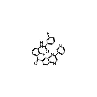 O=C(Nc1cccc(C(=O)c2ccc3ncc(-c4cccnc4)nc3c2)c1F)c1cccc(F)c1